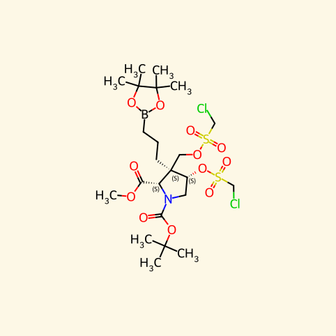 COC(=O)[C@H]1N(C(=O)OC(C)(C)C)C[C@@H](OS(=O)(=O)CCl)[C@]1(CCCB1OC(C)(C)C(C)(C)O1)COS(=O)(=O)CCl